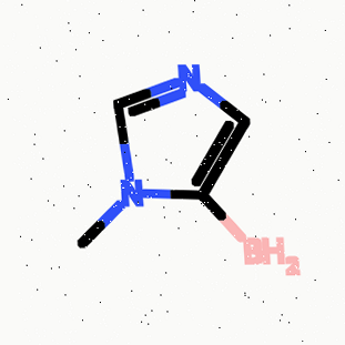 Bc1cncn1C